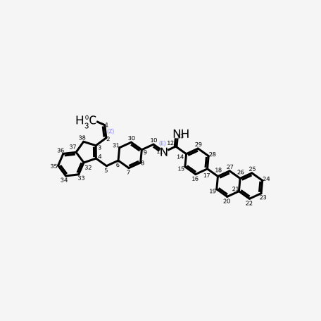 C/C=C\C1=C(CC2C=CC(/C=N/C(=N)c3ccc(-c4ccc5ccccc5c4)cc3)=CC2)c2ccccc2C1